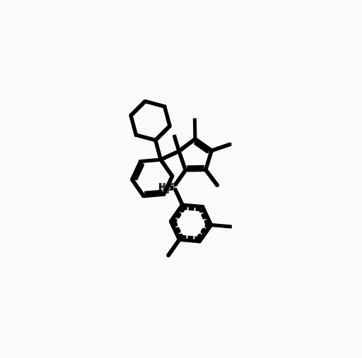 CC1=C(C)C(C)(C2(C3CCCCC3)C=CC=CC2)C([SiH2]c2cc(C)cc(C)c2)=C1C